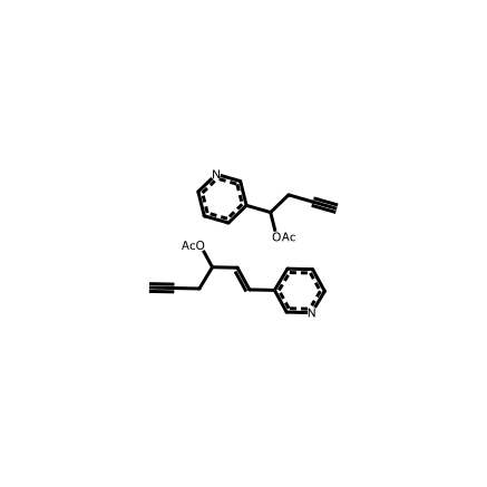 C#CCC(C=Cc1cccnc1)OC(C)=O.C#CCC(OC(C)=O)c1cccnc1